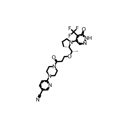 C[C@H](OCCC(=O)N1CCN(c2ccc(C#N)cn2)CC1)[C@@H]1CCCN1c1cn[nH]c(=O)c1C(F)(F)F